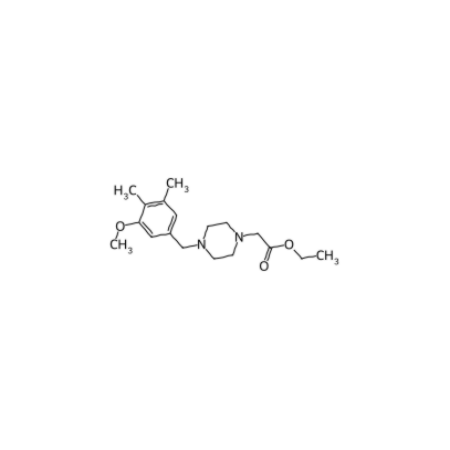 CCOC(=O)CN1CCN(Cc2cc(C)c(C)c(OC)c2)CC1